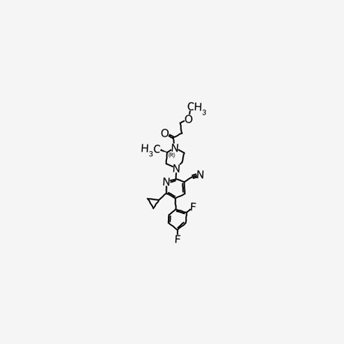 COCCC(=O)N1CCN(c2nc(C3CC3)c(-c3ccc(F)cc3F)cc2C#N)C[C@H]1C